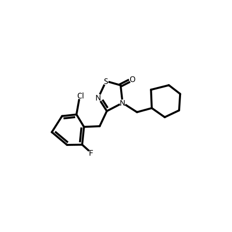 O=c1snc(Cc2c(F)cccc2Cl)n1CC1CCCCC1